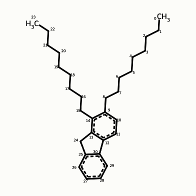 CCCCCCCCCc1ccc2c(c1CCCCCCCCC)[CH]c1ccccc1-2